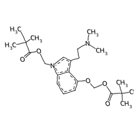 CN(C)CCc1cn(COC(=O)C(C)(C)C)c2cccc(OCOC(=O)C(C)(C)C)c12